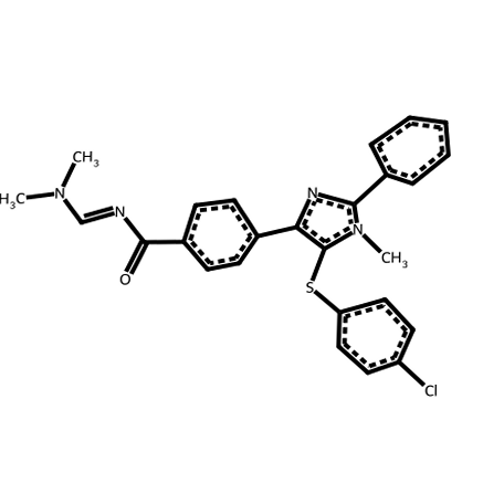 CN(C)/C=N/C(=O)c1ccc(-c2nc(-c3ccccc3)n(C)c2Sc2ccc(Cl)cc2)cc1